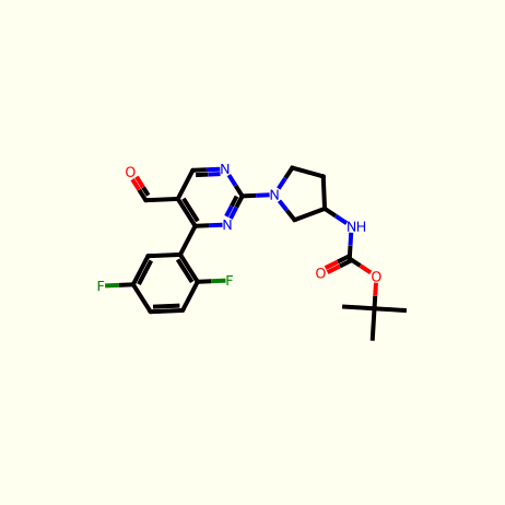 CC(C)(C)OC(=O)NC1CCN(c2ncc(C=O)c(-c3cc(F)ccc3F)n2)C1